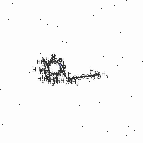 CC(=O)C(=O)CCC(=O)NCCOCCOCCOCCOCCC(=O)N[C@@H](CCCCNC(=O)CC[C@@H]1NC(=O)[C@@H](CCCNC(=N)N)NC(=O)[C@H](CCCNC(=N)N)NC(=O)[C@@H](CCCNC(=N)N)NC(=O)[C@H](CCCNC(=N)N)NC(=O)[C@H](Cc2ccc3ccccc3c2)NC(=O)[C@@H](Cc2ccccc2)NC(=O)/C(=C/c2ccccc2)NC1=O)C(N)=O